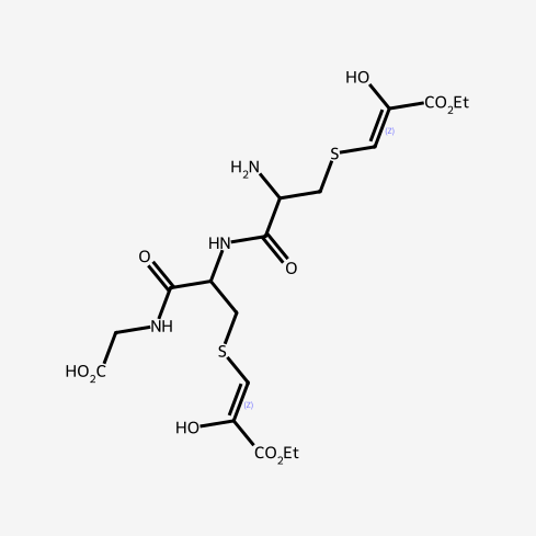 CCOC(=O)/C(O)=C/SCC(N)C(=O)NC(CS/C=C(\O)C(=O)OCC)C(=O)NCC(=O)O